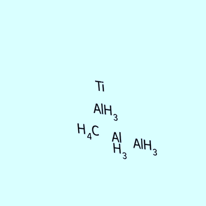 C.[AlH3].[AlH3].[AlH3].[Ti]